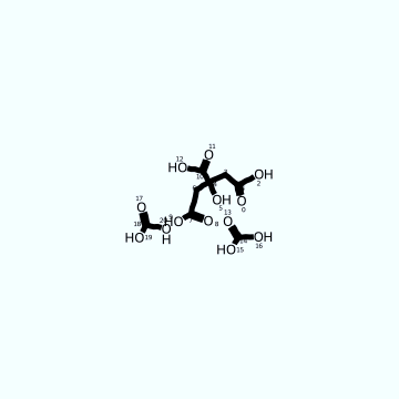 O=C(O)CC(O)(CC(=O)O)C(=O)O.O=C(O)O.O=C(O)O